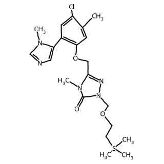 Cc1cc(OCc2nn(COCCS(C)(C)C)c(=O)n2C)c(-c2cncn2C)cc1Cl